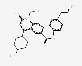 CCCc1ccc(N(C)C(=O)c2ccc3c(c2)c(C2CCC(O)CC2)cc(=O)n3CC)cc1